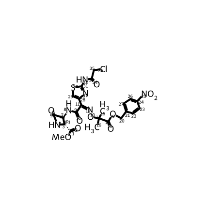 COC(=O)[C@@H]1NC(=O)[C@H]1NC(=O)C(=NOC(C)(C)C(=O)OCc1ccc([N+](=O)[O-])cc1)c1csc(NC(=O)CCl)n1